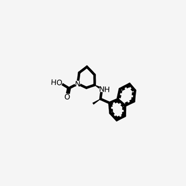 C[C@@H](N[C@@H]1CCCN(C(=O)O)C1)c1cccc2ccccc12